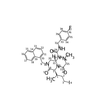 CC(CCI)[C@H]1C(=O)N(Cc2cccc3ccccc23)C[C@H]2N1C(=O)CN(C)N2C(=O)NCc1ccc(F)cc1